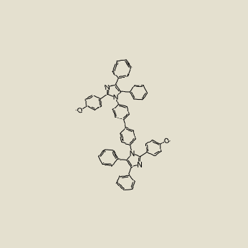 [O]c1ccc(-c2nc(-c3ccccc3)c(-c3ccccc3)n2-c2ccc(-c3ccc(-n4c(-c5ccc([O])cc5)nc(-c5ccccc5)c4-c4ccccc4)cc3)cc2)cc1